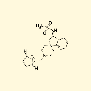 CS(=O)(=O)N[C@@H]1CC2(CCN(C[C@H]3C[C@H]4CC[C@@H]3C4)CC2)c2ccccc21